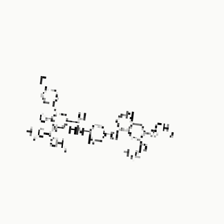 COc1cc2nccc(Oc3ccc(NC(=O)c4cc(-c5ccc(F)cc5)c(=O)n(C(C)C)c4)nc3)c2cc1OC